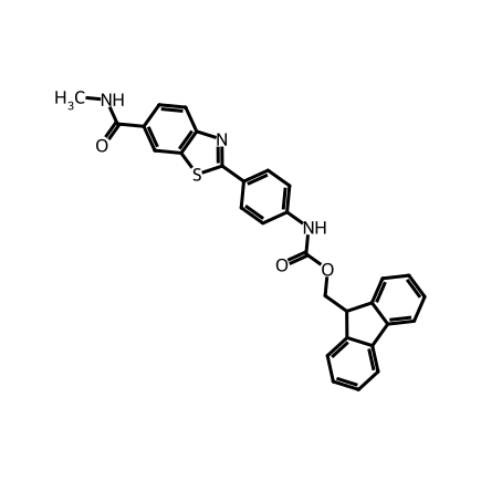 CNC(=O)c1ccc2nc(-c3ccc(NC(=O)OCC4c5ccccc5-c5ccccc54)cc3)sc2c1